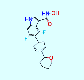 O=C(NO)c1c[nH]c2cc(F)c(-c3ccc(C4CCCCO4)cc3)c(F)c12